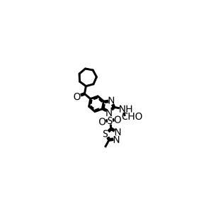 Cc1nnc(S(=O)(=O)n2c(NC=O)nc3cc(C(=O)C4CCCCCC4)ccc32)s1